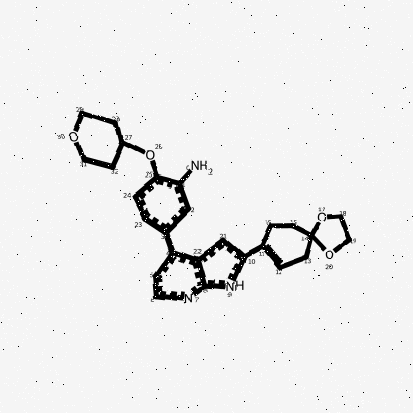 Nc1cc(-c2ccnc3[nH]c(C4=CCC5(CC4)OCCO5)cc23)ccc1OC1CCOCC1